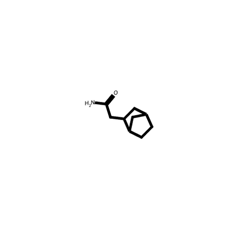 NC(=O)CC1CC2CCC1C2